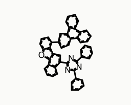 c1ccc(-c2nc(-c3ccccc3)nc(-c3cc4c(oc5cccc(-c6ccc7c8ccccc8c8ccccc8c7c6)c54)c4ccccc34)n2)cc1